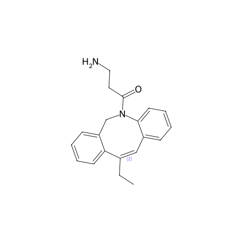 CC/C1=C/c2ccccc2N(C(=O)CCN)Cc2ccccc21